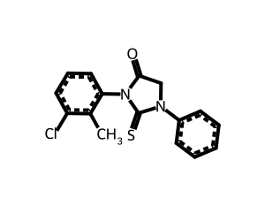 Cc1c(Cl)cccc1N1C(=O)CN(c2ccccc2)C1=S